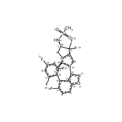 CS(=O)(=O)N[C@@H]1Cn2c(cn(-c3noc4ccc(F)c(-c5c(F)cc(F)cc5F)c34)c2=O)C1(F)F